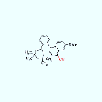 COc1ccc2c(-c3ccccc3C3=CC(C)(C)CC(C)(C)C3)ccc(O)c2c1